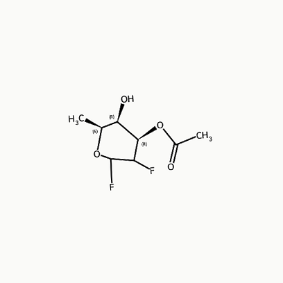 CC(=O)O[C@H]1C(F)C(F)O[C@@H](C)[C@H]1O